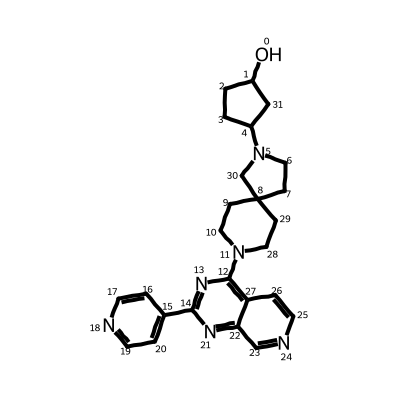 OC1CCC(N2CCC3(CCN(c4nc(-c5ccncc5)nc5cnccc45)CC3)C2)C1